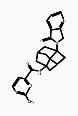 Cc1nccc(C(=O)NC23CC4CC5(N6Cc7ncccc7C6=O)CC(C2)C35C4)n1